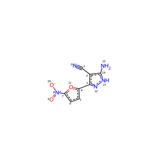 N#Cc1c(-c2ccc([N+](=O)[O-])o2)n[nH]c1N